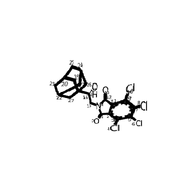 O=C1c2c(Cl)c(Cl)c(Cl)c(Cl)c2C(=O)N1C[C@@H](O)C12CC3CC(CC(C3)C1)C2